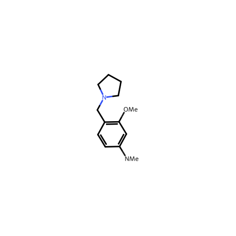 CNc1ccc(CN2CCCC2)c(OC)c1